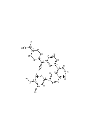 COc1ncc(-c2ccc3ncnc(-c4cncc(C(=O)N5CCN(C(C)=O)CC5)c4)c3c2)cc1F